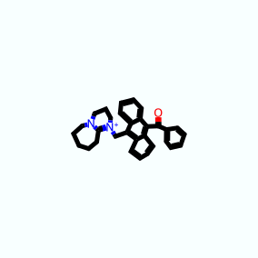 O=C(c1ccccc1)c1c2ccccc2c(C[N+]2=C3CCCCCN3CCC2)c2ccccc12